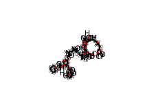 COc1cc2cc(c1Cl)CC(=O)C[C@H](OC(=O)[C@H](C)N(C)C(=O)CCSC(=O)N(C)CCN(C)C(=O)OCc1ccc(NC(=O)OC3/C=C/CCCCC3)c(NCC(=O)ON3C(=O)CCC3=O)c1)[C@]1(C)O[C@H]1[C@H](C)[C@@H]1C[C@@](O)(NC(=O)O1)[C@H](OC)/C=C/C=C(\C)C2